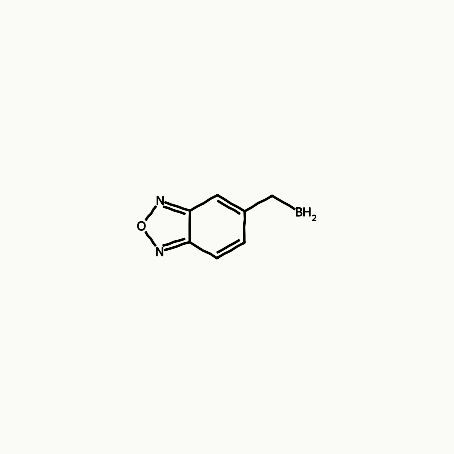 BCc1ccc2nonc2c1